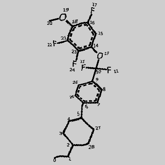 CCC1CCC(c2ccc(C(F)(F)Oc3cc(F)c(OC)c(F)c3F)cc2)CC1